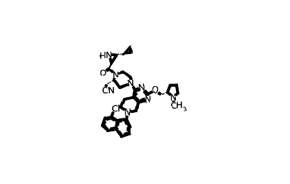 CN1CCC[C@H]1COc1nc2c(c(N3CCN(C(=O)[C@H]4N[C@@H]4C4CC4)[C@@H](CC#N)C3)n1)CCN(c1cccc3cccc(Cl)c13)C2